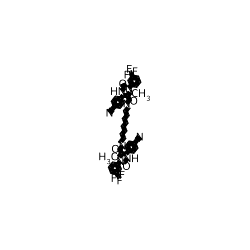 CC1=C(C(=O)NCCCCCCCCCCNC(=O)C2=C(C)N(c3cccc(C(F)(F)F)c3)C(=O)NC2c2ccc(C#N)cc2)C(c2ccc(C#N)cc2)NC(=O)N1c1cccc(C(F)(F)F)c1